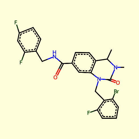 CC1c2ccc(C(=O)NCc3ccc(F)cc3F)cc2N(Cc2c(F)cccc2Br)C(=O)N1C